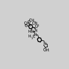 COc1cc2[nH]c(N(C)Cc3cccc(CN4CCC(O)C4)c3)nc(=O)c2c(C)c1OC